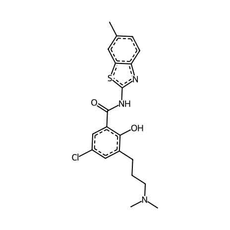 Cc1ccc2nc(NC(=O)c3cc(Cl)cc(CCCN(C)C)c3O)sc2c1